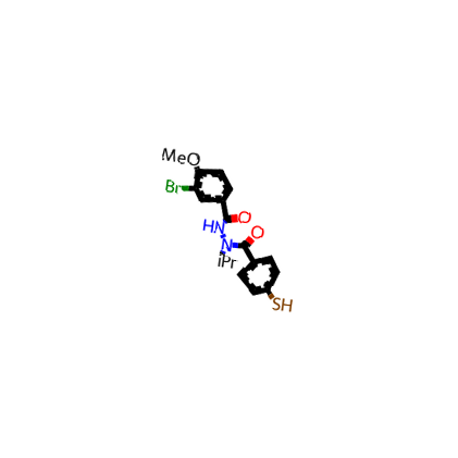 COc1ccc(C(=O)NN(C(=O)c2ccc(S)cc2)C(C)C)cc1Br